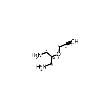 C#CCOC(CN)CN